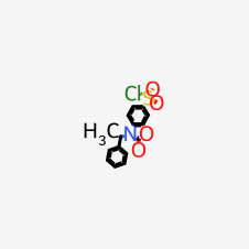 CC(c1ccccc1)n1c(=O)oc2cc(S(=O)(=O)Cl)ccc21